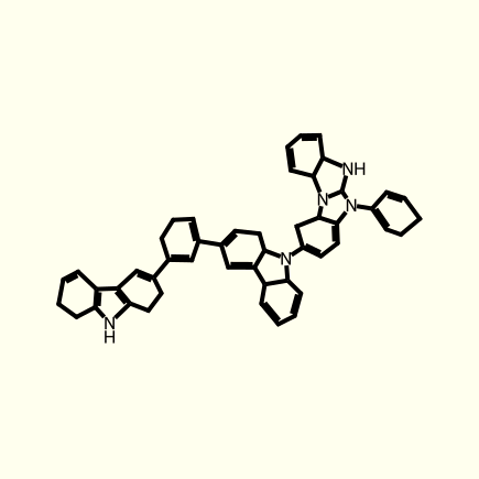 C1=CC2NC3N(C4=CCCC=C4)C4=CC=C(N5C6CC=C(C7=CCCC(C8=Cc9c([nH]c%10c9C=CCC%10)CC8)=C7)C=C6C6C=CC=CC65)CC4N3C2C=C1